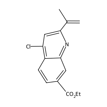 C=C(C)c1cc(Cl)c2ccc(C(=O)OCC)cc2n1